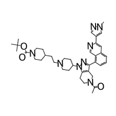 CC(=O)N1CCc2c(c(-c3cccc4cc(-c5cnn(C)c5)ncc34)nn2C2CCN(CCC3CCN(C(=O)OC(C)(C)C)CC3)CC2)C1